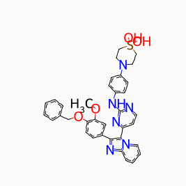 COc1cc(-c2nc3ccccn3c2-c2ccnc(Nc3ccc(N4CCS(O)(O)CC4)cc3)n2)ccc1OCc1ccccc1